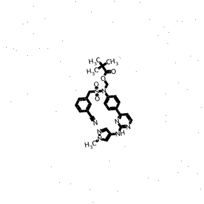 Cn1cc(Nc2nccc(-c3ccc(N(COC(=O)C(C)(C)C)S(=O)(=O)Cc4cccc(C#N)c4)cc3)n2)cn1